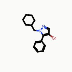 Brc1cnn(CC2CC[CH]CC2)c1-c1ccccc1